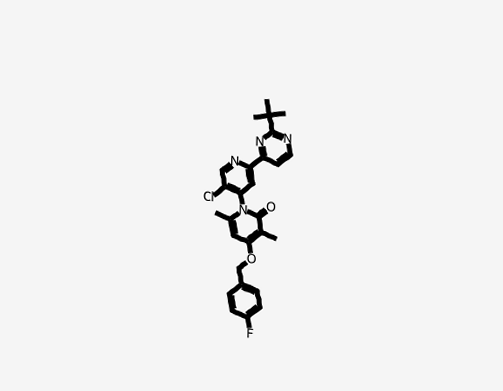 Cc1c(OCc2ccc(F)cc2)cc(C)n(-c2cc(-c3ccnc(C(C)(C)C)n3)ncc2Cl)c1=O